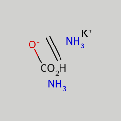 C=C.N.N.O=C([O-])O.[K+]